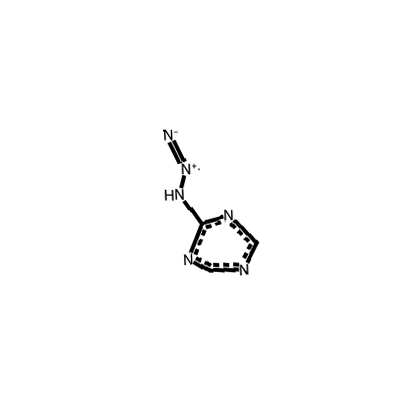 [N-]=[N+]Nc1ncncn1